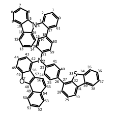 c1ccc(-n2c3ccccc3c3ccccc32)c(-c2ccc(N(c3ccc(-c4cccc5c4sc4ccccc45)cc3)c3cccc4oc5c6ccccc6ccc5c34)cc2)c1